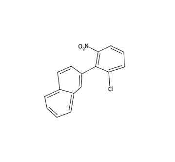 O=[N+]([O-])c1cccc(Cl)c1-c1ccc2ccccc2c1